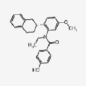 CCN(C(=O)c1ccc(O)cc1)c1cc(OC)ccc1[C@@H]1CCc2c[c]ccc2C1